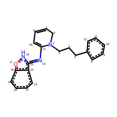 C1=CCN(CCCc2ccccc2)C(N=c2[nH]oc3ccccc23)=C1